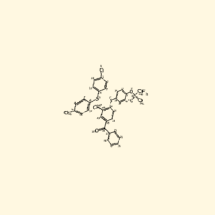 Clc1ccc(Sc2ccc(Cl)cc2)cc1.O=C(c1ccccc1)c1ccc(Sc2ccc(OS(=O)(=O)C(F)(F)F)cc2)c(Cl)c1